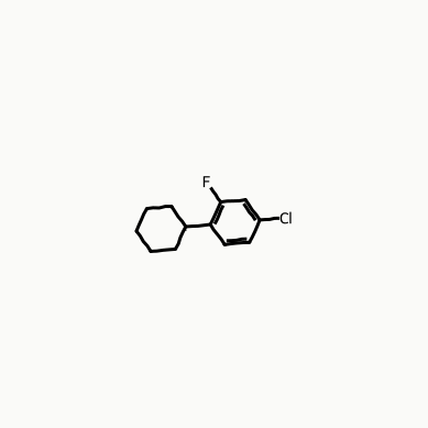 Fc1cc(Cl)ccc1[C]1CCCCC1